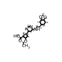 CCOc1cc(-c2cc(NCCc3ccc4c(c3)OCO4)ncn2)sc1C(=O)O